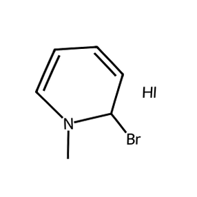 CN1C=CC=CC1Br.I